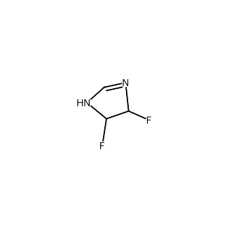 FC1N=CNC1F